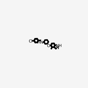 Cc1c(OC2CCCC(NCc3ccc(Cl)cc3)C2)ccc2[nH]ncc12